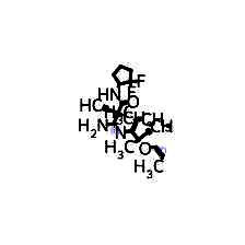 C#CC(C)(O/C=C\C)C(/N=C(/N)C(C)(C#C)C(=O)NC1CCCC1(F)F)=C(C)C